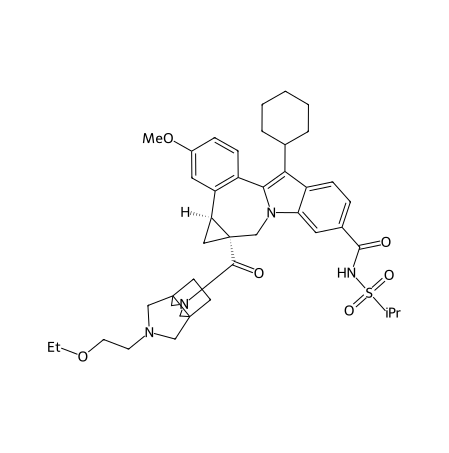 CCOCCN1CC23CCC2(C1)CN(C(=O)[C@]12C[C@H]1c1cc(OC)ccc1-c1c(C4CCCCC4)c4ccc(C(=O)NS(=O)(=O)C(C)C)cc4n1C2)C3